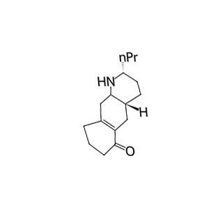 CCC[C@@H]1CC[C@@H]2CC3=C(CCCC3=O)CC2N1